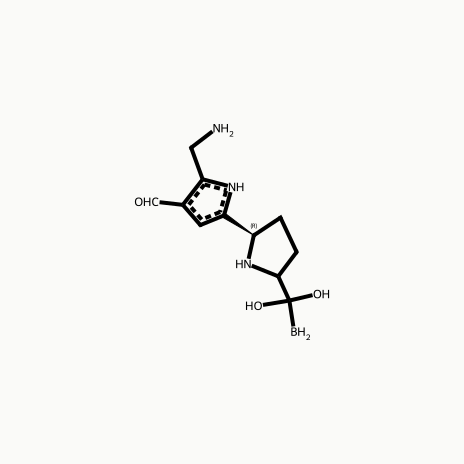 BC(O)(O)C1CC[C@H](c2cc(C=O)c(CN)[nH]2)N1